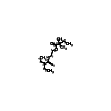 CCN(CC)C(=S)SCCOC(=O)C(C)(C)CC